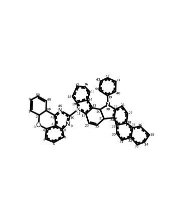 C1=CC2Oc3cccc4nc(-n5c6c(c7ccccc75)C5C(C=C6)c6c(ccc7c6ccc6ccccc67)N5c5ccccc5)nc(c34)C2C=C1